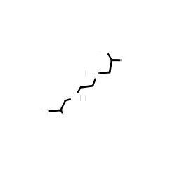 ClC(Cl)C[SiH2]CC[SiH2]CC(Cl)Cl